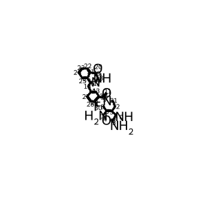 N=C(C(N)=O)C1=C(N)CN(C(=O)c2cc(Cc3n[nH]c(=O)c4ccccc34)ccc2F)CC1